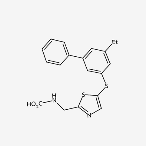 CCc1cc(Sc2cnc(CNC(=O)O)s2)cc(-c2ccccc2)c1